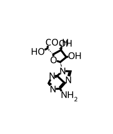 Nc1ncnc2c1ncn2[C@@H]1O[C@H](C(O)C(=O)O)C(O)C1O